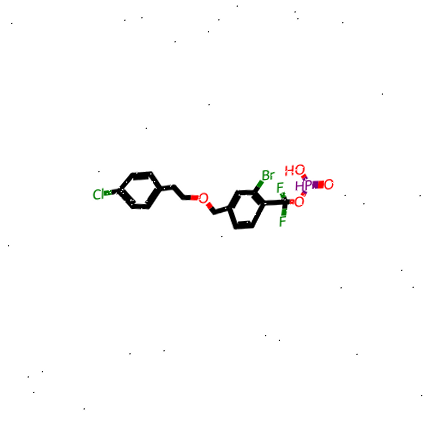 O=[PH](O)OC(F)(F)c1ccc(COCCc2ccc(Cl)cc2)cc1Br